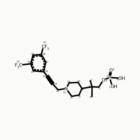 CC(C)(COP(=O)(O)O)C1CCN(CC#Cc2cc(C(F)(F)F)cc(C(F)(F)F)c2)CC1